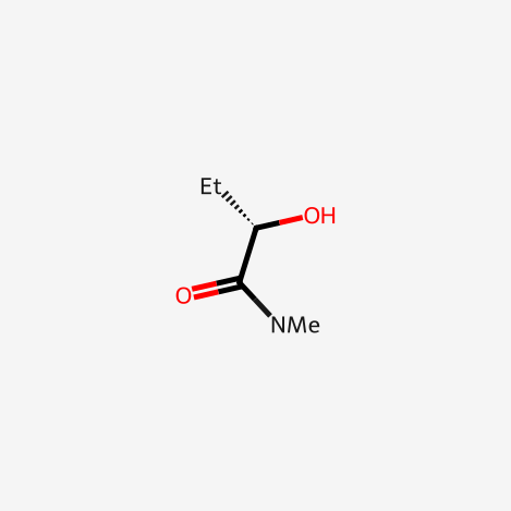 [CH2-][NH2+]C(=O)[C@@H](O)CC